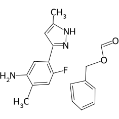 Cc1cc(-c2cc(N)c(C)cc2F)n[nH]1.O=COCc1ccccc1